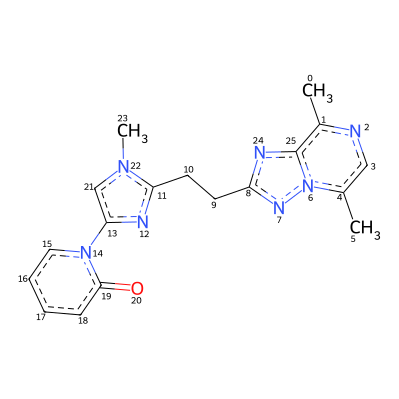 Cc1ncc(C)n2nc(CCc3nc(-n4ccccc4=O)cn3C)nc12